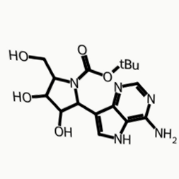 CC(C)(C)OC(=O)N1C(CO)C(O)C(O)C1c1c[nH]c2c(N)ncnc12